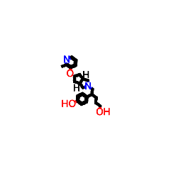 Cc1ncccc1O[C@H]1C[C@@H]2CN(CC(CCCO)c3ccc(O)cc3)C[C@@H]2C1